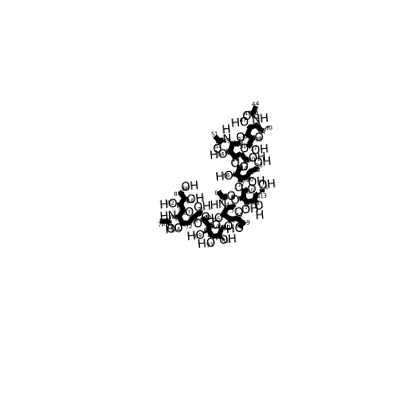 CC(=O)NC1[C@H](OC2C(O)[C@H](O)[C@@H](CO)O[C@@H]2OC2[C@H](O)C(CO)O[C@@H](O[C@@H]3C(CO)O[C@@H](O[C@@H]4C(CO)O[C@@H](C)[C@@H](NC(C)=O)C4O)[C@@H](NC(C)=O)C3O)[C@@H]2O)OC(CO)[C@@H](O[C@@H]2OC(CO[C@]3(C(=O)O)C[C@@H](O)[C@@H](NC(C)=O)C([C@H](O)[C@H](O)CO)O3)[C@H](O)C(O)[C@@H]2O)[C@@H]1O